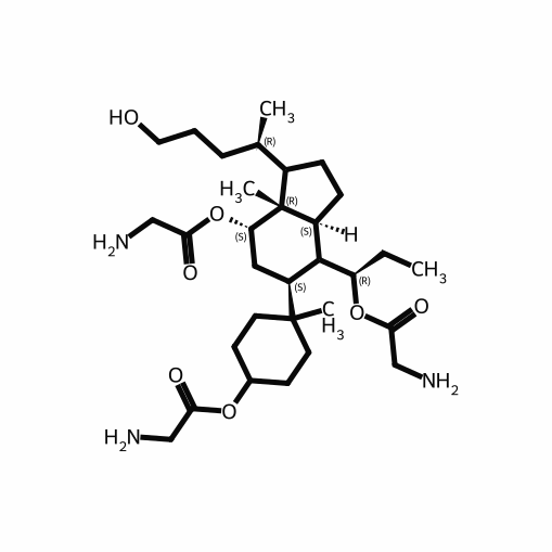 CC[C@@H](OC(=O)CN)C1[C@@H](C2(C)CCC(OC(=O)CN)CC2)C[C@H](OC(=O)CN)[C@]2(C)C([C@H](C)CCCO)CC[C@@H]12